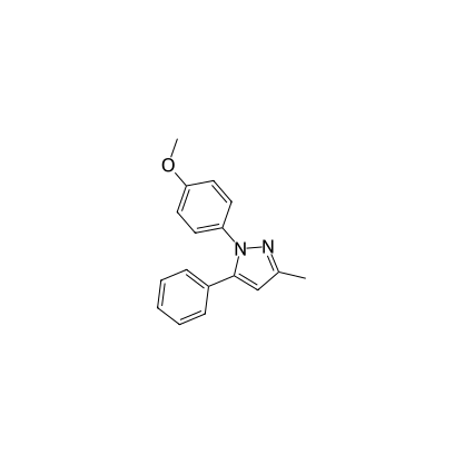 COc1ccc(-n2nc(C)cc2-c2ccccc2)cc1